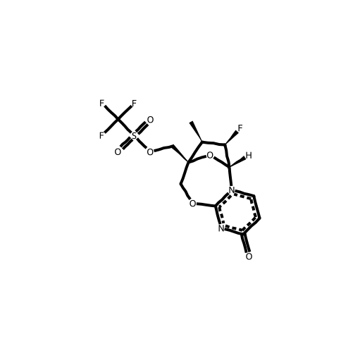 C[C@H]1[C@@H](F)[C@H]2O[C@]1(COS(=O)(=O)C(F)(F)F)COc1nc(=O)ccn12